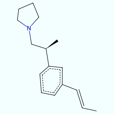 CC=Cc1cccc([C@H](C)CN2CCCC2)c1